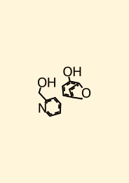 OCc1ccccn1.Oc1ccc2cc1OC2